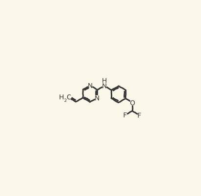 C=Cc1cnc(Nc2ccc(OC(F)F)cc2)nc1